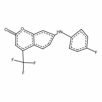 O=c1cc(C(F)(F)F)c2ccc(Nc3ccc(F)cc3)cc2o1